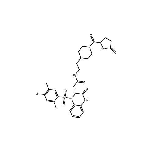 Cc1cc(S(=O)(=O)N2c3ccccc3NC(=O)[C@H]2CC(=O)NCCC2CCN(C(=O)C3CCC(=O)N3)CC2)c(C)cc1Cl